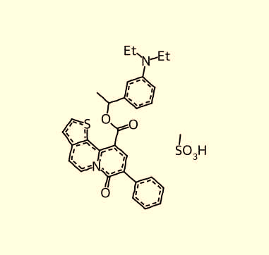 CCN(CC)c1cccc(C(C)OC(=O)c2cc(-c3ccccc3)c(=O)n3ccc4ccsc4c23)c1.CS(=O)(=O)O